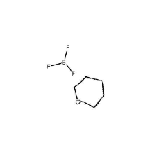 C1CCOCC1.FB(F)F